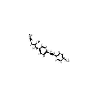 N#CCC(=O)Nc1ccc(C#Cc2ccc(Cl)cc2)cc1